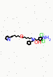 Nc1c(Cl)cc(C(O)CN(CCCCCCOCCCCC#Cc2ccccn2)Cc2ccccc2)cc1Cl